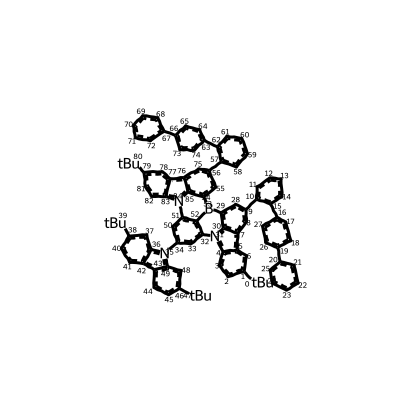 CC(C)(C)c1ccc2c(c1)c1cc(-c3ccccc3-c3ccc(-c4ccccc4)cc3)cc3c1n2-c1cc(-n2c4cc(C(C)(C)C)ccc4c4ccc(C(C)(C)C)cc42)cc2c1B3c1cc(-c3ccccc3-c3ccc(-c4ccccc4)cc3)cc3c4cc(C(C)(C)C)ccc4n-2c13